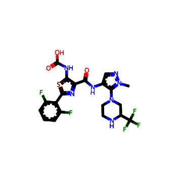 Cn1ncc(NC(=O)c2nc(-c3c(F)cccc3F)sc2NC(=O)O)c1N1CCNC(C(F)(F)F)C1